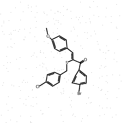 COc1ccc(C=C(SCc2ccc(Cl)cc2)C(=O)c2ccc(Br)cc2)cc1